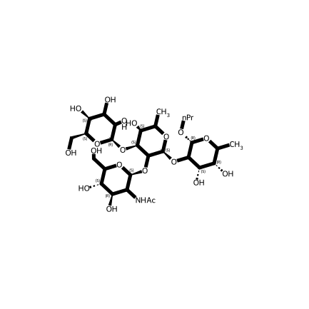 CCCO[C@@H]1OC(C)[C@H](O)[C@H](O)C1O[C@@H]1OC(C)[C@H](O)[C@H](O[C@H]2O[C@@H](CO)[C@@H](O)C(O)C2O)C1O[C@@H]1OC(CO)[C@@H](O)[C@H](O)C1NC(C)=O